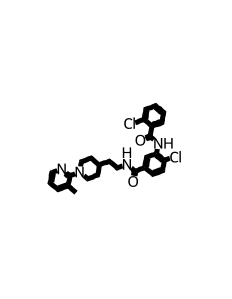 Cc1cccnc1N1CCC(CCNC(=O)c2ccc(Cl)c(NC(=O)c3ccccc3Cl)c2)CC1